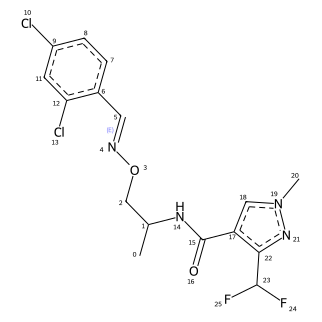 CC(CO/N=C/c1ccc(Cl)cc1Cl)NC(=O)c1cn(C)nc1C(F)F